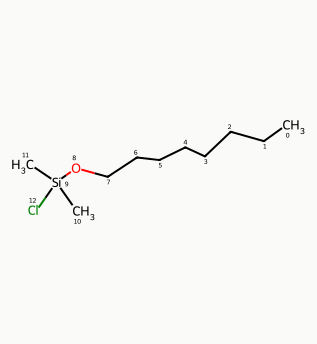 CCCCCCCCO[Si](C)(C)Cl